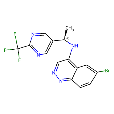 C[C@@H](Nc1cnnc2ccc(Br)cc12)c1cnc(C(F)(F)F)nc1